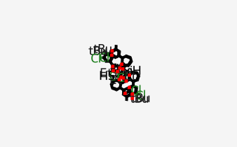 CCC1=CC2=C(C=CC=CC2c2cc(C)c(C(C)(C)C)c(Cl)c2)[C]12[SiH](C)[C]1(C(CC)=CC3=C1C=CC=CC3c1cc(C)c(C(C)(C)C)c(Cl)c1)[Hf]21([Cl])([Cl])[C]2(C(CC)=CC3=C2C=CC=CC3c2cc(C)c(C(C)(C)C)c(Cl)c2)[SiH](C)[C]12C(CC)=CC1=C2C=CC=CC1c1cc(C)c(C(C)(C)C)c(Cl)c1